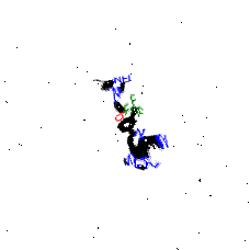 C[C@@H]1CN(CCOc2ccc(-c3cc4c(ncn4C)c(C#N)n3)cc2C(F)(F)F)C[C@H](C)N1